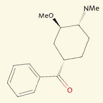 CN[C@@H]1CC[C@H](C(=O)c2ccccc2)C[C@H]1OC